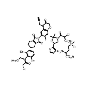 C#CCN1C(=O)COc2cc(F)c(N3C(=O)C4=C(CCCC4)C3=O)cc21.CC1(C)OC(c2ccco2)CN1C(=O)C(Cl)Cl.CCc1cccc(CC)c1N(COC)C(=O)CCl.CP(=O)(O)CCC(N)C(=O)O